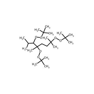 CC(C)C(OOC(C)(C)C)C(C)(CCC(C)(C)OOC(C)(C)C)OOC(C)(C)C